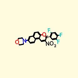 O=[N+]([O-])C1=Cc2c(ccc3cc(N4CCOCC4)ccc23)O[C@@H]1c1cc(F)c(F)cc1F